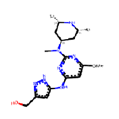 CC[C@@H]1C[C@@H](N(C)c2nc(Nc3cc(CO)n[nH]3)cc(OC)n2)C[C@H](CC)N1